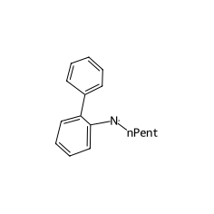 CCCCC[N]c1ccccc1-c1ccccc1